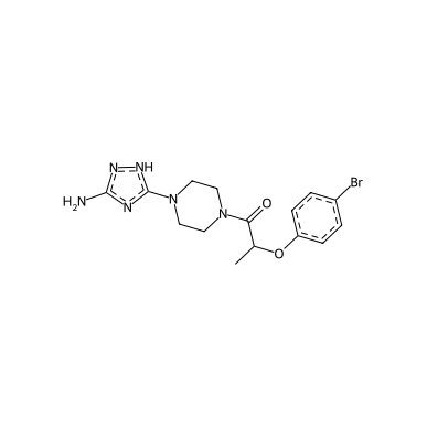 CC(Oc1ccc(Br)cc1)C(=O)N1CCN(c2nc(N)n[nH]2)CC1